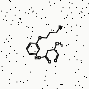 BrCCCOc1ccccc1.CC(C=O)CC(=O)O